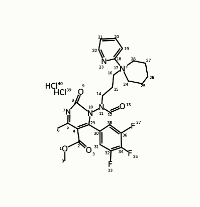 COC(=O)c1c(C)nc(=O)n(N(C=O)CCC[N+]2(c3ccccn3)CCCCC2)c1-c1cc(F)c(F)c(F)c1.Cl.Cl